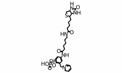 O=C(CCCCC1SCC2NC(=O)NC21)NCCCCCC(=O)Nc1ccc(OP(=O)(O)O)c(C[n+]2ccccc2)c1